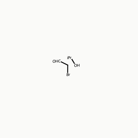 CC(C)O.O=CCBr